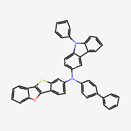 c1ccc(-c2ccc(N(c3ccc4c(c3)sc3c5ccccc5oc43)c3ccc4c(c3)c3ccccc3n4-c3ccccc3)cc2)cc1